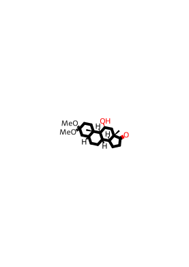 COC1(OC)CC[C@@]2(C)[C@H](CC[C@@H]3[C@@H]2[C@H](O)C[C@]2(C)C(=O)CC[C@@H]32)C1